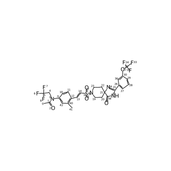 CC(=O)N(CC(F)(F)F)c1ccc(C=CS(=O)(=O)N2CCC3(CC2)N=C(c2cccc(OC(F)(F)F)c2)NC3=O)c(C)c1